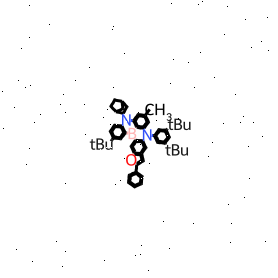 Cc1cc2c3c(c1)N(C1CC4CCC1C4)c1ccc(C(C)(C)C)cc1B3c1cc3oc(-c4ccccc4)cc3cc1N2c1cc(C(C)(C)C)cc(C(C)(C)C)c1